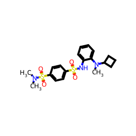 CN(c1ccccc1NS(=O)(=O)c1ccc(S(=O)(=O)N(C)C)cc1)C1CCC1